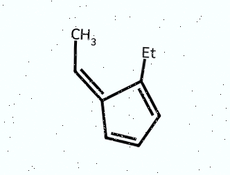 CC=C1C=CC=C1CC